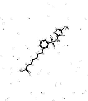 Cc1nnc(NS(=O)(=O)c2cccc(CCCCCCC(=O)O)c2)s1